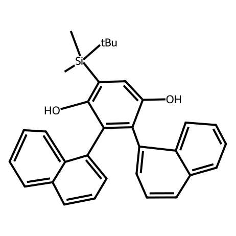 CC(C)(C)[Si](C)(C)c1cc(O)c(-c2cccc3ccccc23)c(-c2cccc3ccccc23)c1O